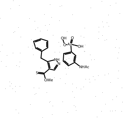 CC(=O)Nc1cccc([As](=O)(O)OO)c1.COC(=S)c1cn[nH]c1Cc1ccccc1